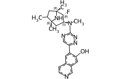 CC1C[C@@]2(C)N[C@]1(C)C[C@H](N(C)c1ncc(-c3cc4ccncc4cc3O)nn1)[C@H]2F